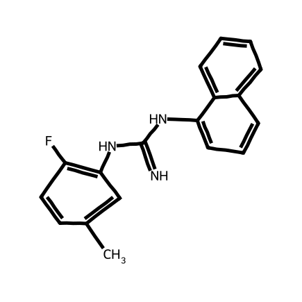 Cc1ccc(F)c(NC(=N)Nc2cccc3ccccc23)c1